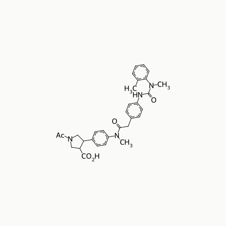 CC(=O)N1CC(C(=O)O)C(c2ccc(N(C)C(=O)Cc3ccc(NC(=O)N(C)c4ccccc4C)cc3)cc2)C1